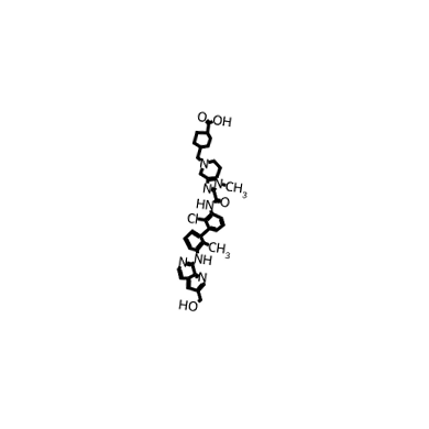 Cc1c(Nc2nccc3cc(CO)cnc23)cccc1-c1cccc(NC(=O)c2nc3c(n2C)CCN(CC2CCC(C(=O)O)CC2)C3)c1Cl